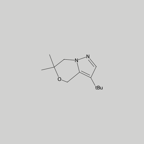 CC1(C)Cn2ncc(C(C)(C)C)c2CO1